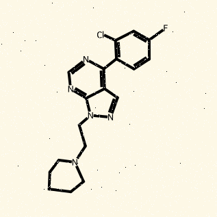 Fc1ccc(-c2ncnc3c2cnn3CCN2CCCCC2)c(Cl)c1